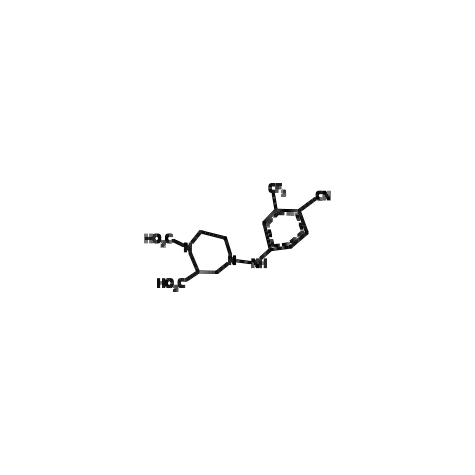 N#Cc1ccc(NN2CCN(C(=O)O)C(C(=O)O)C2)cc1C(F)(F)F